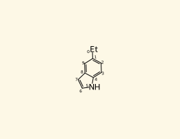 [CH2]Cc1ccc2[nH]ccc2c1